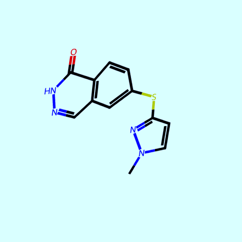 Cn1ccc(Sc2ccc3c(=O)[nH]ncc3c2)n1